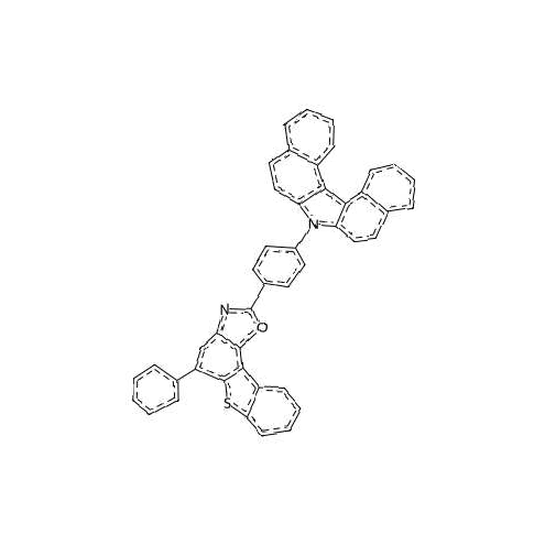 c1ccc(-c2cc3nc(-c4ccc(-n5c6ccc7ccccc7c6c6c7ccccc7ccc65)cc4)oc3c3c2sc2ccccc23)cc1